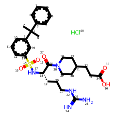 CC(C)(c1ccccc1)c1cccc(S(=O)(=O)N[C@@H](CCCNC(=N)N)C(=O)N2CCC(CCC(=O)O)CC2)c1.Cl